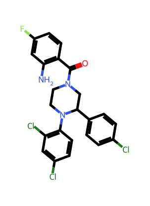 Nc1cc(F)ccc1C(=O)N1CCN(c2ccc(Cl)cc2Cl)C(c2ccc(Cl)cc2)C1